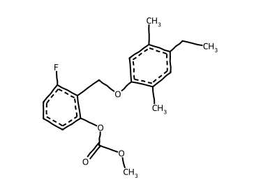 CCc1cc(C)c(OCc2c(F)cccc2OC(=O)OC)cc1C